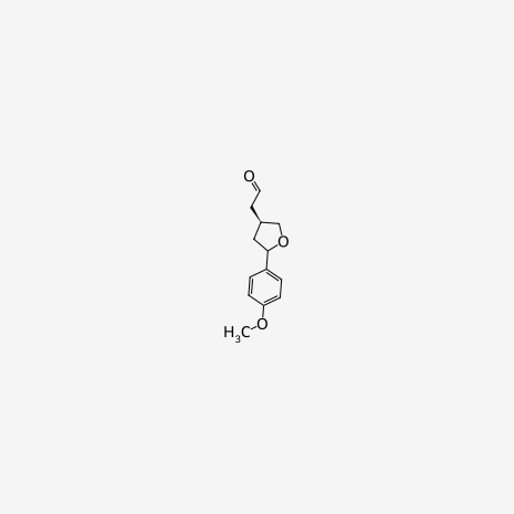 COc1ccc(C2C[C@@H](CC=O)CO2)cc1